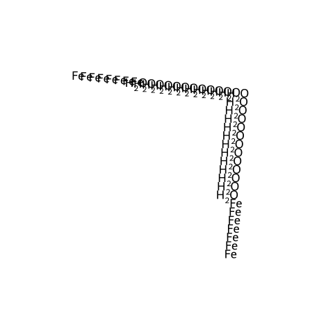 O.O.O.O.O.O.O.O.O.O.O.O.O.O.O.O.O.O.O.O.O.O.O.O.O.[Fe].[Fe].[Fe].[Fe].[Fe].[Fe].[Fe].[Fe].[Fe].[Fe].[Fe].[Fe].[Fe].[Fe].[Fe]